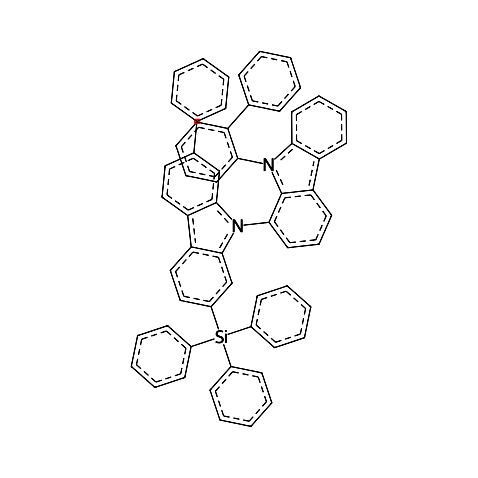 c1ccc(-c2ccc3c4ccc([Si](c5ccccc5)(c5ccccc5)c5ccccc5)cc4n(-c4cccc5c6ccccc6n(-c6ccccc6-c6ccccc6)c45)c3c2)cc1